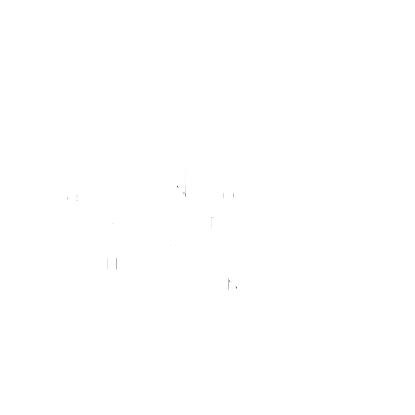 CCC(C)(NP(=O)(CN(C)C)Oc1c(C(C)C)cccc1C(C)C)C(=O)O